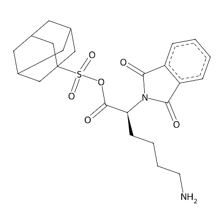 NCCCC[C@@H](C(=O)OS(=O)(=O)C12CC3CC(CC(C3)C1)C2)N1C(=O)c2ccccc2C1=O